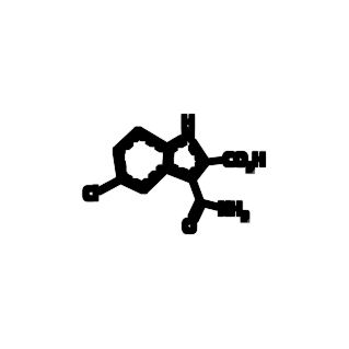 NC(=O)c1c(C(=O)O)[nH]c2ccc(Cl)cc12